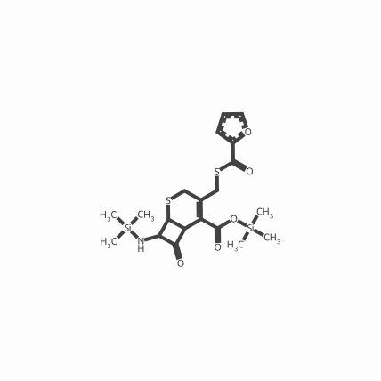 C[Si](C)(C)NC1C(=O)C2C(C(=O)O[Si](C)(C)C)=C(CSC(=O)c3ccco3)CSC12